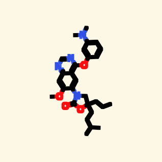 CCCC1(CCC(C)C)CN(c2cc3c(Oc4cccc(N(C)C)c4)ncnc3cc2OC)C(=O)O1